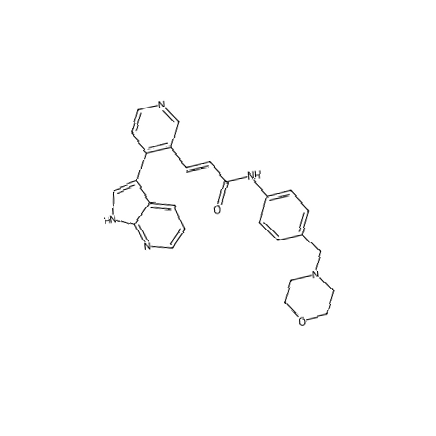 O=C(C=Cc1cnccc1-c1c[nH]c2ncccc12)Nc1ccc(CN2CCOCC2)cc1